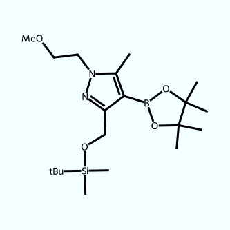 COCCn1nc(CO[Si](C)(C)C(C)(C)C)c(B2OC(C)(C)C(C)(C)O2)c1C